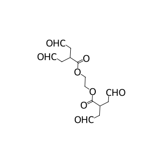 O=CCC(CC=O)C(=O)OCCOC(=O)C(CC=O)CC=O